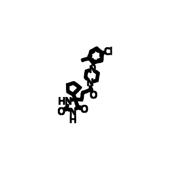 Cc1ccc(Cl)cc1N1CCN(C(=O)CCC2(C3CCCC3)NC(=O)NC2=O)CC1